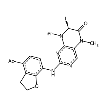 CC(=O)c1ccc(Nc2ncc3c(n2)N(C(C)C)[C@@H](I)C(=O)N3C)c2c1CCO2